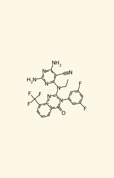 CCN(c1nc(N)nc(N)c1C#N)c1nc2c(C(F)(F)F)cccc2c(=O)n1-c1cc(F)cc(F)c1